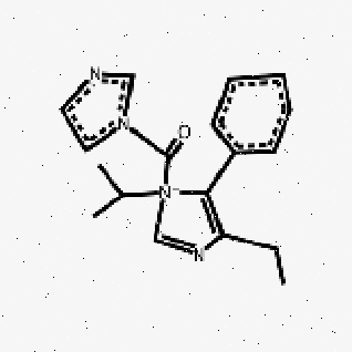 CCC1=C(c2ccccc2)[N+](C(=O)n2ccnc2)(C(C)C)C=N1